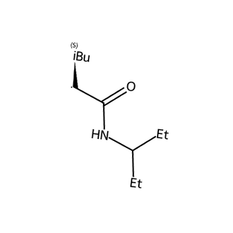 CCC(CC)NC(=O)[CH][C@H](C)CC